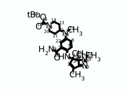 CC1=CC(C)(Nc2ccc(N(C)C3CCN(C(=O)OC(C)(C)C)CC3)cc2C(N)=O)[C@]2(C)C1=NN2C